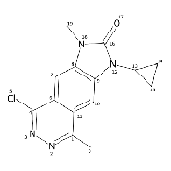 Cc1nnc(Cl)c2cc3c(cc12)n(C1CC1)c(=O)n3C